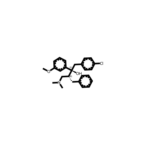 COc1cccc([C@](O)(Cc2ccc(Cl)cc2)[C@H](Cc2ccccc2)CN(C)C)c1